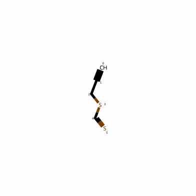 C#CCSC=S